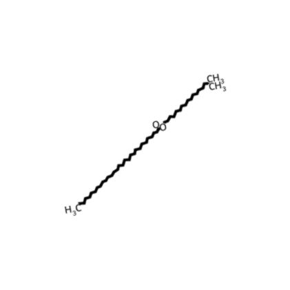 CCCCCCCCCCCCCCCCCCCCCCCCCCCCCC(=O)OCCCCCCCCCCCCCCCC(C)C